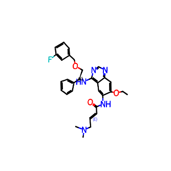 CCOc1cc2ncnc(N[C@H](COCc3cccc(F)c3)c3ccccc3)c2cc1NC(=O)/C=C/CN(C)C